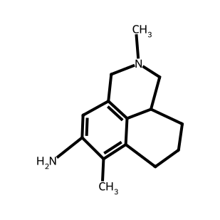 Cc1c(N)cc2c3c1CCCC3CN(C)C2